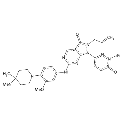 C=CCn1c(=O)c2cnc(Nc3ccc(N4CCC(C)(NC)CC4)c(OC)c3)nc2n1-c1ccc(=O)n(C(C)C)n1